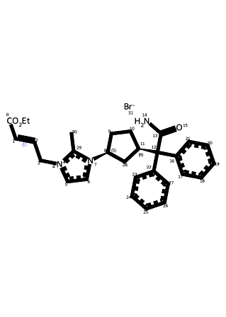 CCOC(=O)/C=C/C[n+]1ccn([C@H]2CC[C@@H](C(C(N)=O)(c3ccccc3)c3ccccc3)C2)c1C.[Br-]